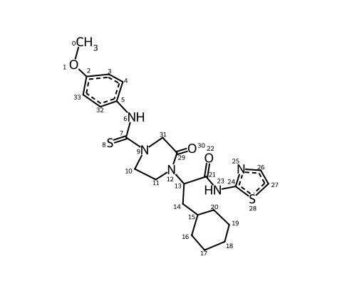 COc1ccc(NC(=S)N2CCN(C(CC3CCCCC3)C(=O)Nc3nccs3)C(=O)C2)cc1